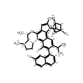 Cc1cc2c(O[C@@H](C)[C@@H]3CCCN3C)nc3c(F)c(-c4cccc5ccc(F)cc45)c(C(C)C#N)cc3c2n1[C@H]1[C@H]2CN[C@@H]1C2